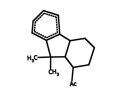 CC(=O)C1CCCC2c3ccccc3C(C)(C)C12